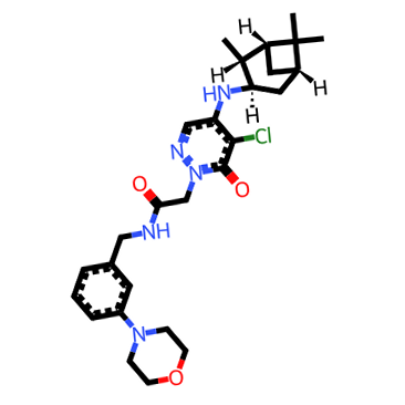 C[C@@H]1[C@H]2C[C@@H](C[C@H]1Nc1cnn(CC(=O)NCc3cccc(N4CCOCC4)c3)c(=O)c1Cl)C2(C)C